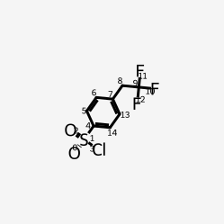 O=S(=O)(Cl)c1ccc(CC(F)(F)F)cc1